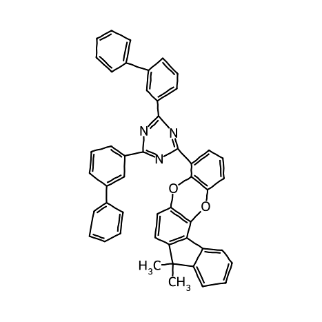 CC1(C)c2ccccc2-c2c1ccc1c2Oc2cccc(-c3nc(-c4cccc(-c5ccccc5)c4)nc(-c4cccc(-c5ccccc5)c4)n3)c2O1